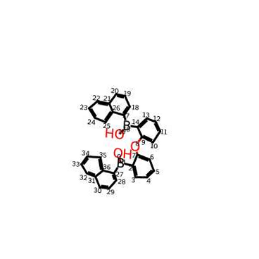 OB(c1ccccc1Oc1ccccc1B(O)c1cccc2ccccc12)c1cccc2ccccc12